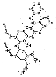 CO[C@H]1C(N=[N+]=[N-])CC(N=[N+]=[N-])[C@@H](O[C@H]2O[C@H](CN(Cc3ccccc3)C(=O)OCc3ccccc3)CCC2N=[N+]=[N-])[C@@H]1O